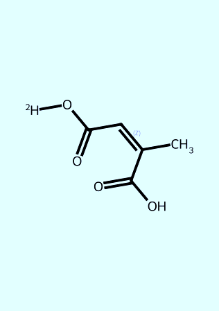 [2H]OC(=O)/C=C(/C)C(=O)O